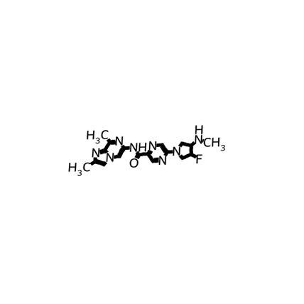 CNC1CN(c2cnc(C(=O)Nc3cn4cc(C)nc4c(C)n3)cn2)CC1F